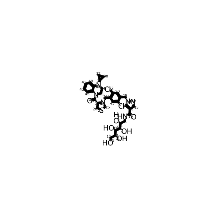 O=C(NC[C@H](O)[C@@H](O)[C@H](O)[C@H](O)CO)c1cnn(Cc2cc(Cl)c(CN3CSC[C@H]3C(=O)N3CCN(C4CC4)c4ccccc43)cc2Cl)c1